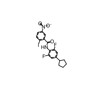 O=C(Nc1c(F)cc(C2CCCC2)cc1F)c1cc([N+](=O)[O-])ccc1I